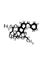 CCCC(C)Oc1c(OC)c(OC)c(OC(=O)CC)c2cc(Cc3ccccc3)ccc12